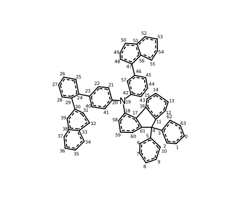 c1ccc(C2(c3ccccc3)c3ccccc3-c3c(N(c4ccc(-c5ccccc5-c5ccc6ccccc6c5)cc4)c4cccc(-c5cccc6ccccc56)c4)cccc32)cc1